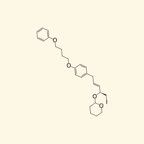 IC[C@H](C=CCc1ccc(OCCCCOc2ccccc2)cc1)OC1CCCCO1